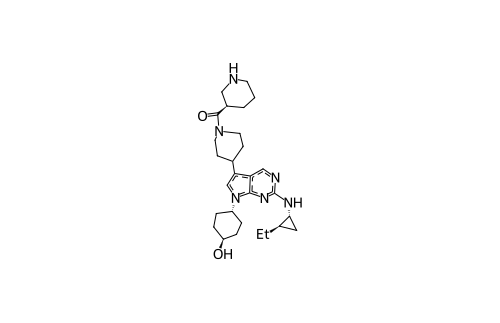 CC[C@@H]1C[C@H]1Nc1ncc2c(C3CCN(C(=O)[C@@H]4CCCNC4)CC3)cn([C@H]3CC[C@H](O)CC3)c2n1